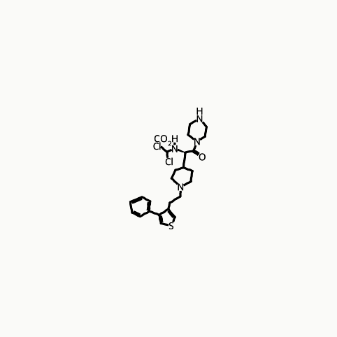 O=C([C@@H](C1CCN(CCc2cscc2-c2ccccc2)CC1)N(C(=O)O)C(Cl)Cl)N1CCNCC1